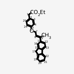 CCOC(=O)Cc1ccc(OCC=C(C)c2ccc3c(c2)Cc2ccccc2-3)cc1